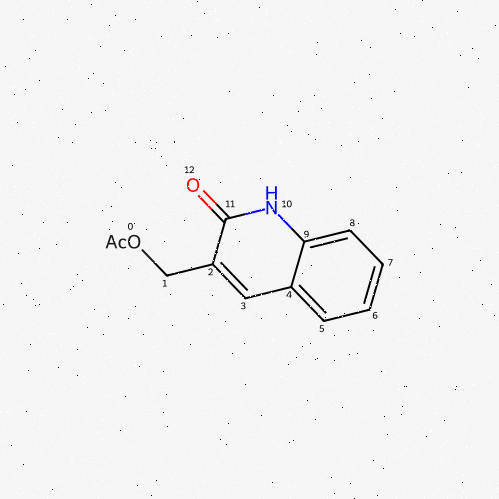 CC(=O)OCc1cc2ccccc2[nH]c1=O